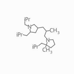 CC(C)CC1CC(CC(C)CN2CCCC2(C)CC(C)C)CN1CC(C)C